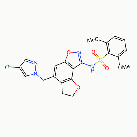 COc1cccc(OC)c1S(=O)(=O)Nc1noc2cc(Cn3cc(Cl)cn3)c3c(c12)OCC3